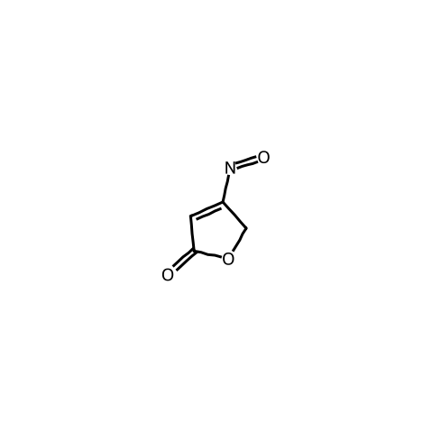 O=NC1=CC(=O)OC1